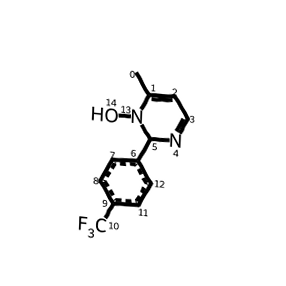 CC1=CC=NC(c2ccc(C(F)(F)F)cc2)N1O